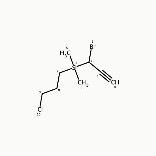 C#CC(Br)[Si](C)(C)CCCCl